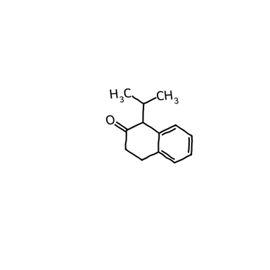 CC(C)C1C(=O)CCc2ccccc21